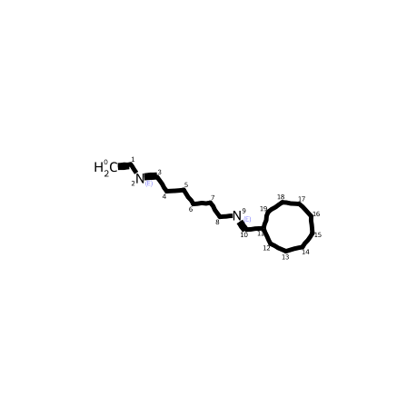 C=C/N=C/CCCCC/N=C/C1CCCCCCCC1